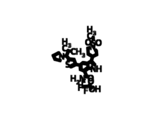 CCS(=O)(=O)N1CCC(c2c[nH]c3c(C(N)=O)cc(-c4csc(C(C(C)C)N5CCCC5)c4)cc23)CC1.O=C(O)C(F)(F)F